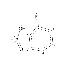 Fc1ccccc1.O=[PH2]O